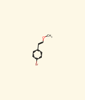 COC=Cc1ccc(Br)cc1